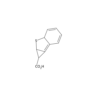 O=C(O)C1C2=C3C=CC=CC3SC21